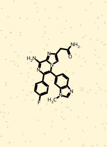 Cn1cnc2ccc(-c3c(-c4ccc(F)cc4)nc(N)c4nc(CC(N)=O)cn34)cc21